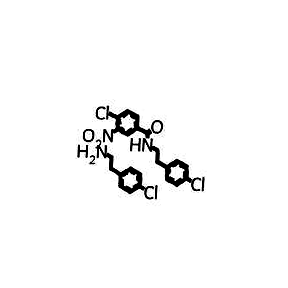 NCCc1ccc(Cl)cc1.O=C(NCCc1ccc(Cl)cc1)c1ccc(Cl)c([N+](=O)[O-])c1